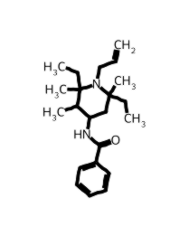 C=CCN1C(C)(CC)CC(NC(=O)c2ccccc2)C(C)C1(C)CC